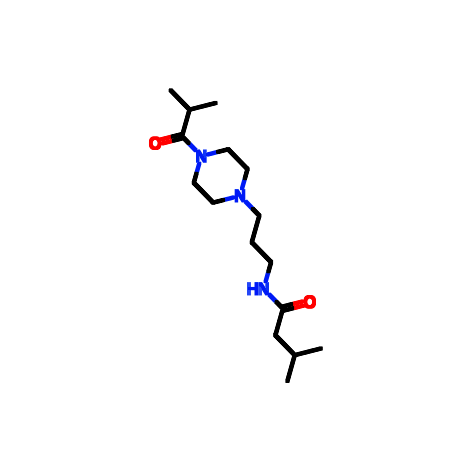 CC(C)CC(=O)NCCCN1CCN(C(=O)C(C)C)CC1